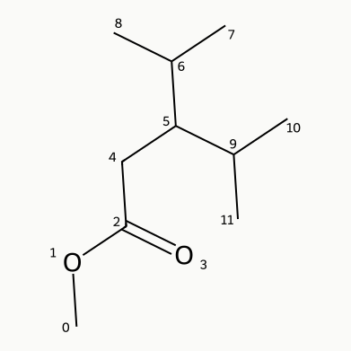 COC(=O)CC(C(C)C)C(C)C